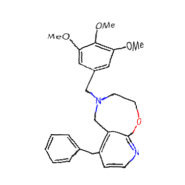 COc1cc(CN2CCOc3nccc(-c4ccccc4)c3C2)cc(OC)c1OC